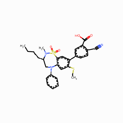 CCCCC1CN(c2ccccc2)c2cc(SC)c(-c3ccc(C#N)c(C(=O)O)c3)cc2S(=O)(=O)N1C